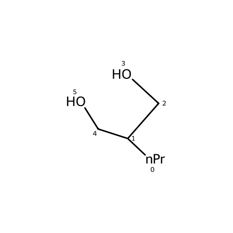 [CH2]CCC(CO)CO